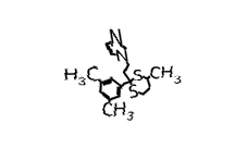 Cc1cc(C)cc(C2(CCn3ccnc3)SCCC(C)S2)c1